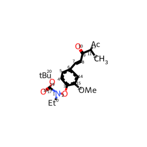 CCN(Oc1ccc(C=CC(=O)C(C)C(C)=O)cc1OC)C(=O)OC(C)(C)C